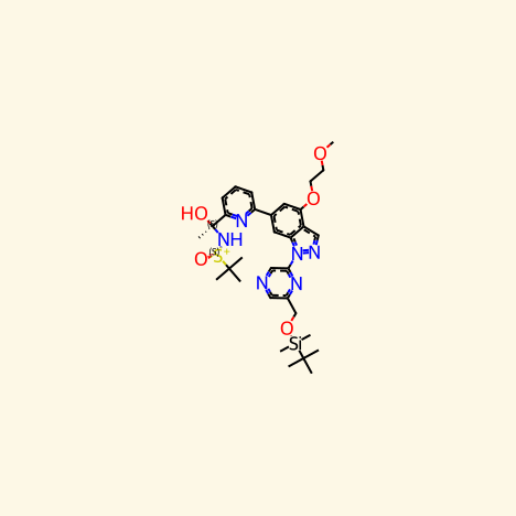 COCCOc1cc(-c2cccc([C@](C)(O)N[S@+]([O-])C(C)(C)C)n2)cc2c1cnn2-c1cncc(CO[Si](C)(C)C(C)(C)C)n1